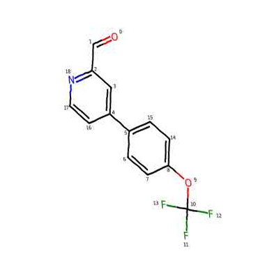 O=Cc1cc(-c2ccc(OC(F)(F)F)cc2)ccn1